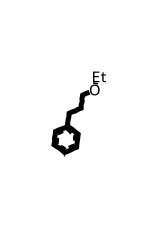 CCOCCCc1cc[c]cc1